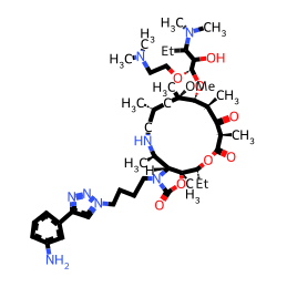 CCC(C(O)[C@@H](OCCN(C)C)O[C@@H]1[C@@H](C)C(=O)[C@@H](C)C(=O)O[C@H](CC)[C@@]2(C)OC(=O)N(CCCCn3cc(-c4cccc(N)c4)nn3)[C@@H]2[C@@H](C)NC[C@H](C)C[C@@]1(C)OC)N(C)C